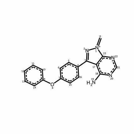 C=[N+]1N=C(c2ccc(Oc3ccccc3)cc2)c2c(N)ncnc21